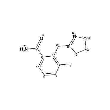 Cc1cccc(C(N)=O)c1CC1=NOCC1